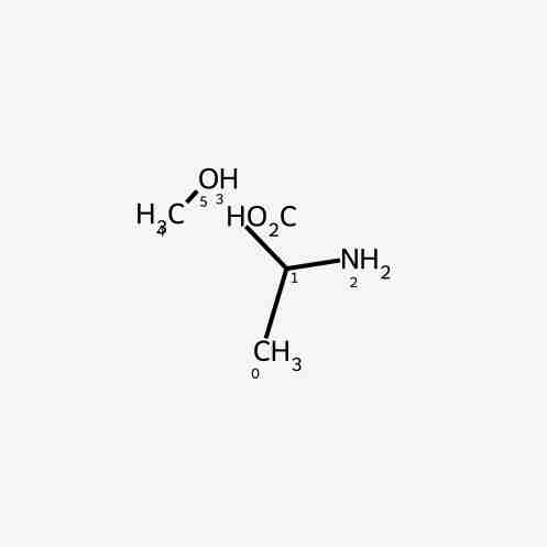 CC(N)C(=O)O.CO